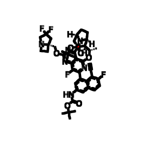 C#Cc1c(F)ccc2cc(NC(=O)OC(C)(C)C)cc(-c3nc4c5c(nc(OC[C@]67CCN6CC(F)(F)C7)nc5c3F)N3C[C@H]5CC[C@@H]([C@H]3[C@H](C)O4)N5C(=O)OC(C)(C)C)c12